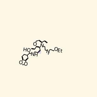 C=CC1=CCOC(C=C)=C(/C=C\CNC(O)C2C=C3OCOC3=CC2)N1CCN(C)CCOCC